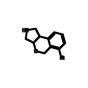 CCc1cccc2c1COC1CNCC21